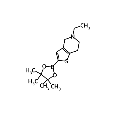 CCN1CCc2sc(B3OC(C)(C)C(C)(C)O3)cc2C1